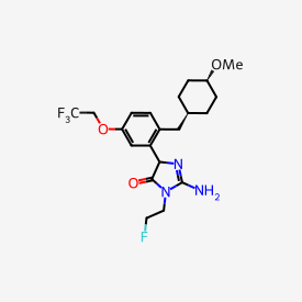 CO[C@H]1CC[C@@H](Cc2ccc(OCC(F)(F)F)cc2C2N=C(N)N(CCF)C2=O)CC1